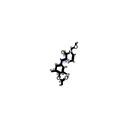 COCN1C=CS/C(=C\c2cc(C)c(OC(C)=O)c(C)c2)C1=O